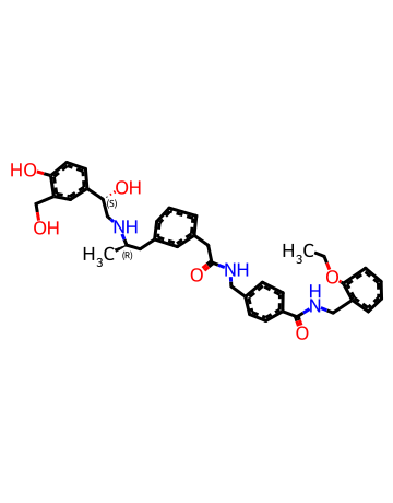 CCOc1ccccc1CNC(=O)c1ccc(CNC(=O)Cc2cccc(C[C@@H](C)NC[C@@H](O)c3ccc(O)c(CO)c3)c2)cc1